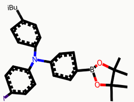 CCC(C)c1ccc(N(c2ccc(I)cc2)c2ccc(B3OC(C)(C)C(C)(C)O3)cc2)cc1